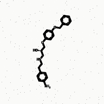 Nc1ccc(CCNC[C@H](O)COc2ccc(OCc3ccccc3)cc2)cc1